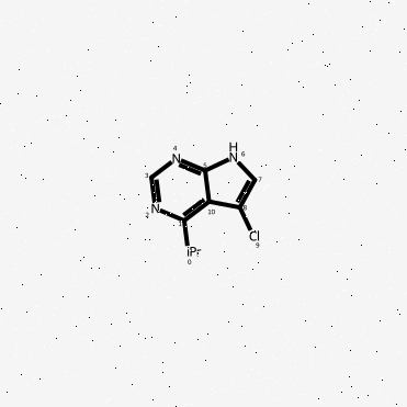 CC(C)c1ncnc2[nH]cc(Cl)c12